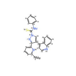 CNc1cccc(-c2nn(C(=S)Nc3ccccc3)cc2-c2ccnc3ccccc23)n1